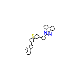 CC1(C)c2ccccc2-c2ccc(-c3ccc4sc5ccc(-c6cccc(-c7cnc8c9ccccc9c9ccccc9c8n7)c6)cc5c4c3)cc21